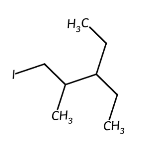 CCC(CC)C(C)CI